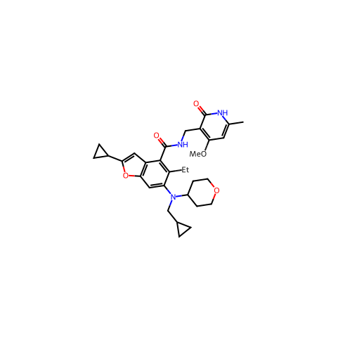 CCc1c(N(CC2CC2)C2CCOCC2)cc2oc(C3CC3)cc2c1C(=O)NCc1c(OC)cc(C)[nH]c1=O